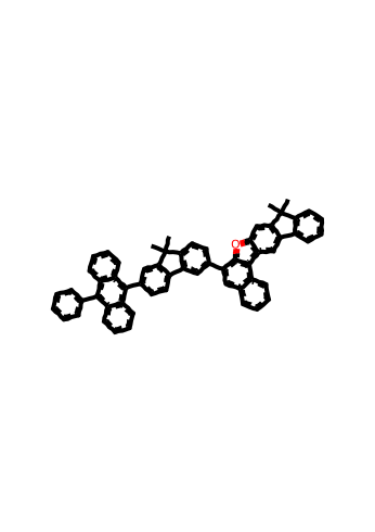 CC1(C)c2ccc(-c3cc4ccccc4c4c3oc3cc5c(cc34)-c3ccccc3C5(C)C)cc2-c2ccc(-c3c4ccccc4c(-c4ccccc4)c4ccccc34)cc21